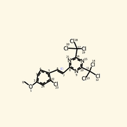 COc1ccc(/C=C/c2nc(C(Cl)(Cl)Cl)nc(C(Cl)(Cl)Cl)n2)c(Cl)c1